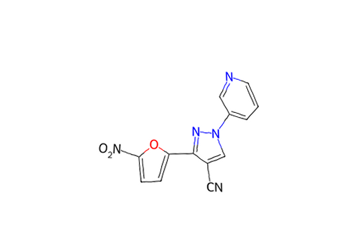 N#Cc1cn(-c2cccnc2)nc1-c1ccc([N+](=O)[O-])o1